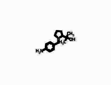 CC(C)(O)C1CCCN1Cc1ccc(N)cc1